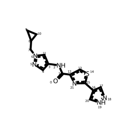 O=C(Nc1cnn(CC2CC2)c1)c1csc(-c2cn[nH]c2)n1